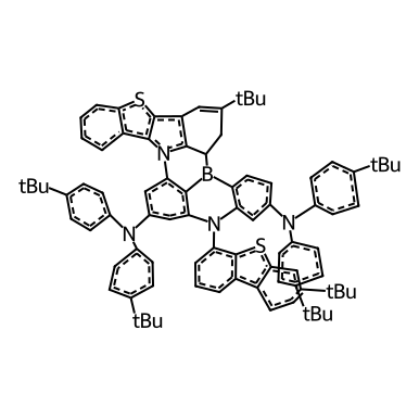 CC(C)(C)C1=Cc2c3n(c4c2sc2ccccc24)-c2cc(N(c4ccc(C(C)(C)C)cc4)c4ccc(C(C)(C)C)cc4)cc4c2B(c2ccc(N(c5ccc(C(C)(C)C)cc5)c5ccc(C(C)(C)C)cc5)cc2N4c2cccc4c2sc2cc(C(C)(C)C)ccc24)C3C1